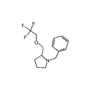 FC(F)(F)COCC1CCCN1Cc1ccccc1